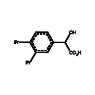 CC(C)c1ccc(C(O)C(=O)O)cc1C(C)C